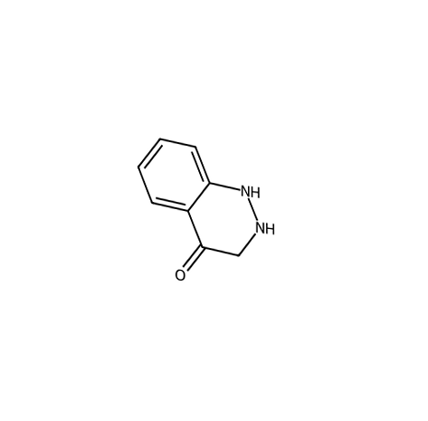 O=C1CNNc2ccccc21